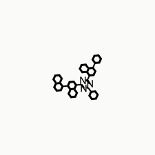 c1ccc(-c2nc(-c3ccc(-c4ccccc4)c4ccccc34)nc(-c3ccc(-c4cccc5ccccc45)c4ccccc34)n2)cc1